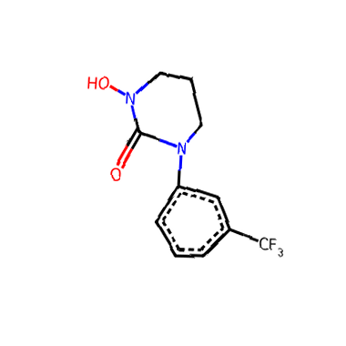 O=C1N(O)CCCN1c1cccc(C(F)(F)F)c1